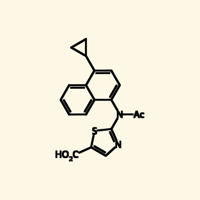 CC(=O)N(c1ncc(C(=O)O)s1)c1ccc(C2CC2)c2ccccc12